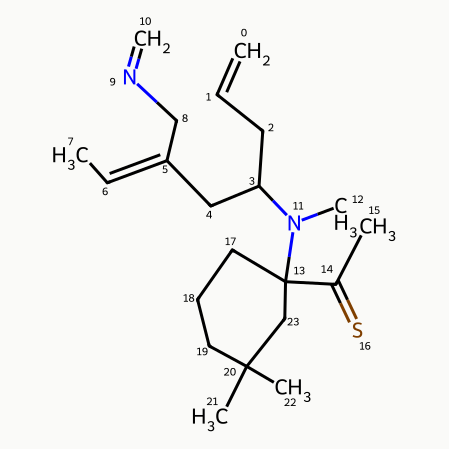 C=CCC(CC(=CC)CN=C)N(C)C1(C(C)=S)CCCC(C)(C)C1